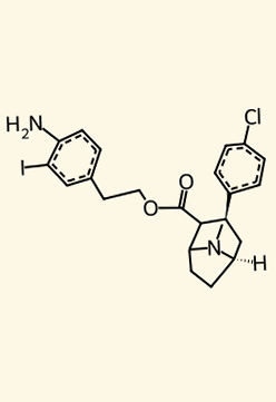 CN1C2CC[C@@H]1C[C@H](c1ccc(Cl)cc1)C2C(=O)OCCc1ccc(N)c(I)c1